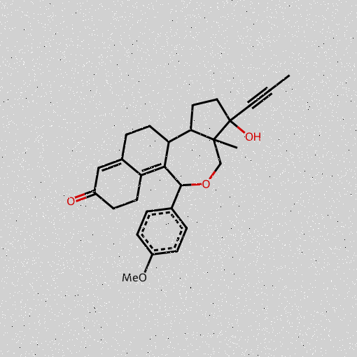 CC#CC1(O)CCC2C3CCC4=CC(=O)CCC4=C3C(c3ccc(OC)cc3)OCC21C